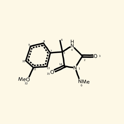 CNN1C(=O)NC(C)(c2cccc(OC)c2)C1=O